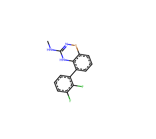 CNC1=NSc2cccc(-c3cccc(F)c3F)c2N1